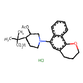 CC(=O)OC1CN(c2cc3c(c4ccccc24)OCCC3)CCC1C(C)(C)C(=O)O.Cl